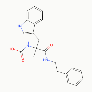 CC(Cc1c[nH]c2ccccc12)(NC(=O)O)C(=O)NCCc1ccccc1